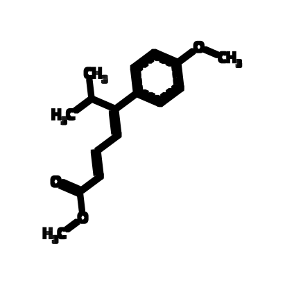 COC(=O)C=CC=C(c1ccc(OC)cc1)C(C)C